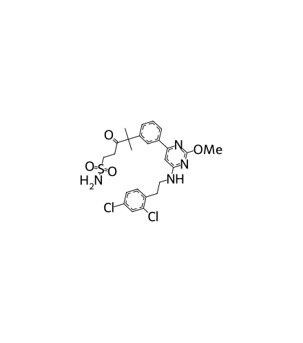 COc1nc(NCCc2ccc(Cl)cc2Cl)cc(-c2cccc(C(C)(C)C(=O)CCS(N)(=O)=O)c2)n1